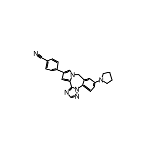 N#Cc1ccc(-c2cc3n(c2)Cc2cc(N4CCCC4)ccc2-n2ncnc2-3)cc1